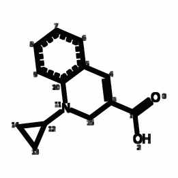 O=C(O)C1=Cc2ccccc2N(C2CC2)C1